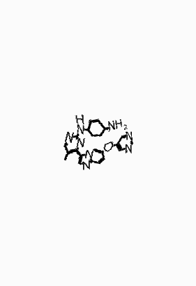 Cc1cnc(NC2CCC(N)CC2)nc1-c1cnc2ccc(Oc3cncnc3)cn12